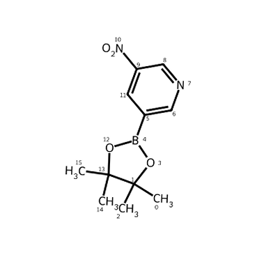 CC1(C)OB(c2cncc([N+](=O)[O-])c2)OC1(C)C